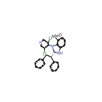 COc1cccc2c1N(c1c(Cl)cncc1Cl)[C@@H](C(Cc1ccccc1)c1ccccc1)N2